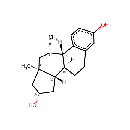 C[C@H]1C[C@]2(C)C[C@@H](O)C[C@H]2[C@@H]2CCc3cc(O)ccc3[C@H]21